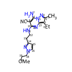 CCc1c(C)nn2c(N)c(C#N)c(NCCc3ccn(CCOC)n3)nc12